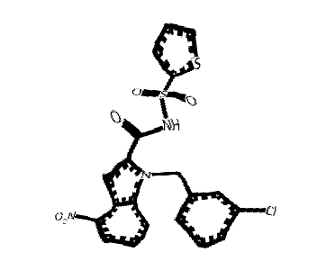 O=C(NS(=O)(=O)c1cccs1)c1cc2c([N+](=O)[O-])cccc2n1Cc1cccc(Cl)c1